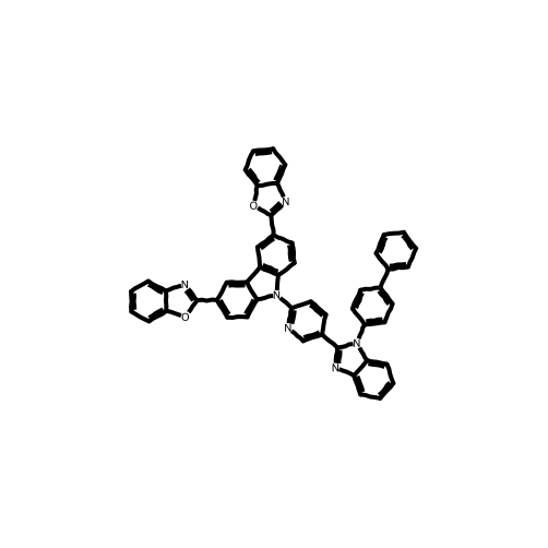 c1ccc(-c2ccc(-n3c(-c4ccc(-n5c6ccc(-c7nc8ccccc8o7)cc6c6cc(-c7nc8ccccc8o7)ccc65)nc4)nc4ccccc43)cc2)cc1